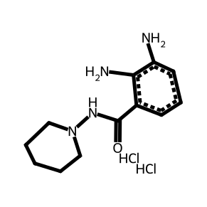 Cl.Cl.Nc1cccc(C(=O)NN2CCCCC2)c1N